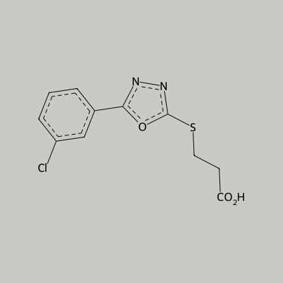 O=C(O)CCSc1nnc(-c2cccc(Cl)c2)o1